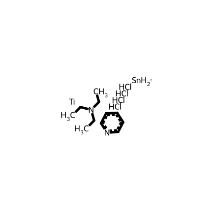 CCN(CC)CC.Cl.Cl.Cl.Cl.[SnH2].[Ti].c1ccncc1